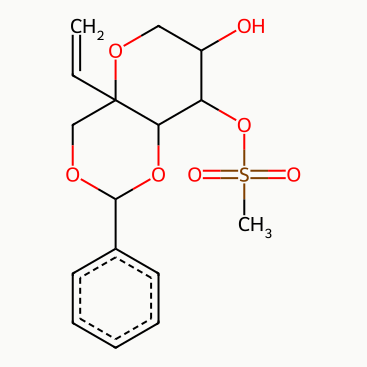 C=CC12COC(c3ccccc3)OC1C(OS(C)(=O)=O)C(O)CO2